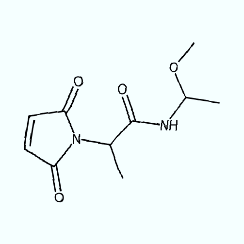 COC(C)NC(=O)C(C)N1C(=O)C=CC1=O